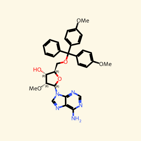 COc1ccc(C(OC[C@H]2O[C@@H](n3cnc4c(N)ncnc43)[C@H](OC)[C@@H]2O)(c2ccccc2)c2ccc(OC)cc2)cc1